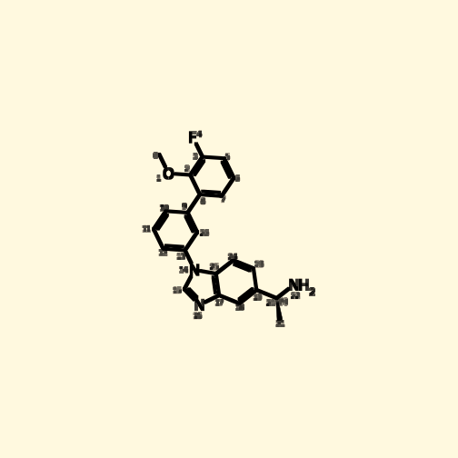 COc1c(F)cccc1-c1cccc(-n2cnc3cc([C@H](C)N)ccc32)c1